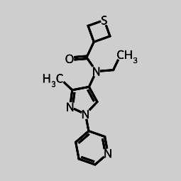 CCN(C(=O)C1CSC1)c1cn(-c2cccnc2)nc1C